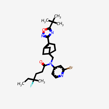 CCC(C)(F)CCC(=O)N(CC12CCC(c3noc(C(C)(C)C)n3)=C(C1)C2)c1ccnc(Br)c1